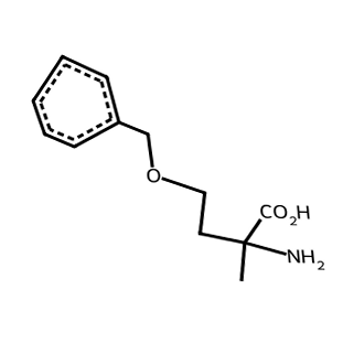 CC(N)(CCOCc1ccccc1)C(=O)O